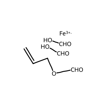 C=CCO[C-]=O.O=[C-]O.O=[C-]O.[Fe+3]